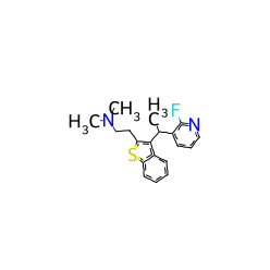 CC(c1cccnc1F)c1c(CCN(C)C)sc2ccccc12